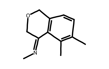 C/N=C1\COCc2ccc(C)c(C)c21